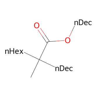 CCCCCCCCCCOC(=O)C(C)(CCCCCC)CCCCCCCCCC